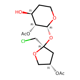 CC(=O)O[C@@H]1CO[C@@](CCl)(O[C@H]2OCC[C@H](O)[C@H]2OC(C)=O)C1